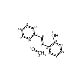 C=O.Oc1ccccc1C=Cc1ccccc1